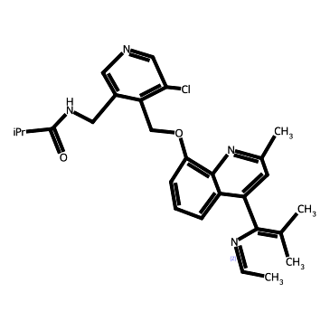 C/C=N\C(=C(C)C)c1cc(C)nc2c(OCc3c(Cl)cncc3CNC(=O)C(C)C)cccc12